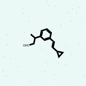 CC(CC=O)c1cccc(C=CC2CC2)c1